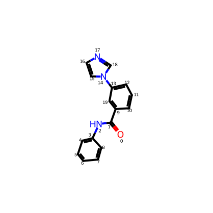 O=C(Nc1ccccc1)c1cccc(-n2ccnc2)c1